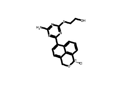 Nc1nc(SCCO)nc(-c2ccc3c4c(cccc24)[C@H](Cl)OC3)n1